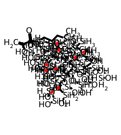 C=C(C)C(=O)OCCC[Si](C)(C)O[Si](C)(C)O[Si](O[Si](O[Si](O[SiH2]O)([SiH2]O)[SiH2]O)([Si](O[SiH2]O)([SiH2]O)[SiH2]O)[Si](O[SiH2]O)([SiH2]O)[SiH2]O)([Si](O[Si](O[SiH2]O)([SiH2]O)[SiH2]O)([Si](O[SiH2]O)([SiH2]O)[SiH2]O)[Si](O[SiH2]O)([SiH2]O)[SiH2]O)[Si](O[Si](O[SiH2]O)([SiH2]O)[SiH2]O)([Si](O[SiH2]O)([SiH](C)O)[Si](C)([SiH3])OC)[Si](O[Si](O[SiH2]O)([SiH2]O)[SiH2]O)([Si](O[SiH2]O)([SiH2]O)[SiH2]O)[Si](O[SiH2]O)([SiH2]O)[SiH2]O